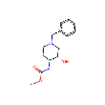 CC(C)OC(=O)N[C@H]1CCN(Cc2ccccc2)C[C@@H]1O